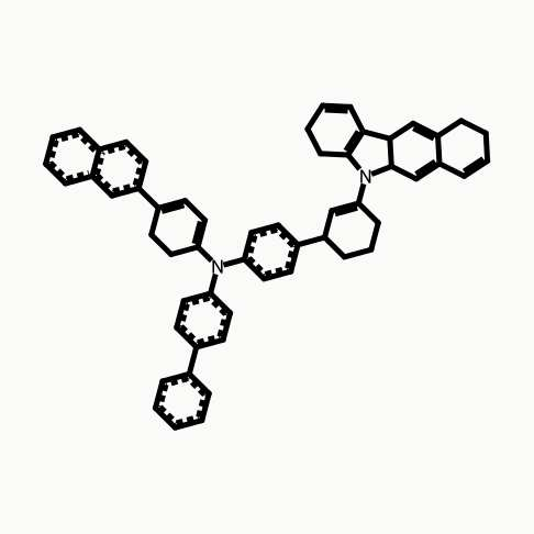 C1=CC2=CC3C(C=C2CC1)C1=C(CCC=C1)N3C1=CC(c2ccc(N(C3=CC=C(c4ccc5ccccc5c4)CC3)c3ccc(-c4ccccc4)cc3)cc2)CCC1